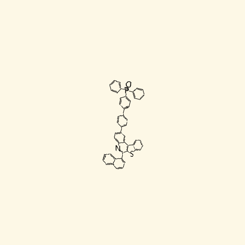 O=P(c1ccccc1)(c1ccccc1)c1ccc(-c2ccc(-c3ccc4nc(-c5cccc6ccccc56)c5sc6ccccc6c5c4c3)cc2)cc1